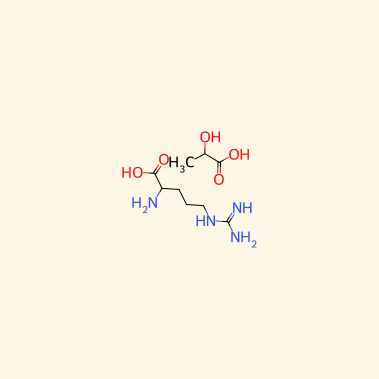 CC(O)C(=O)O.N=C(N)NCCCC(N)C(=O)O